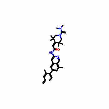 C=C/C=C(C)\C(=C/C)c1cc(C)c2cnc(NC(=O)C=C3C(C)(C)CN(C(=C)N(C)C)CC3(C)C)cc2c1